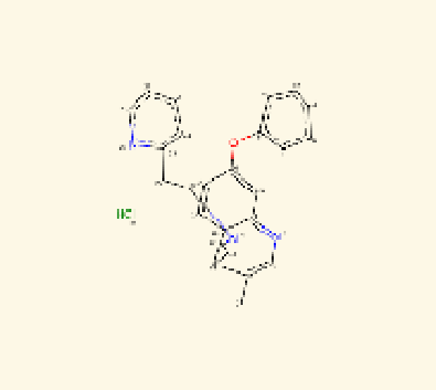 CC1=CN=C2C=C(Oc3ccccc3)C=CC23C1CCN3CCc1ccccn1.Cl